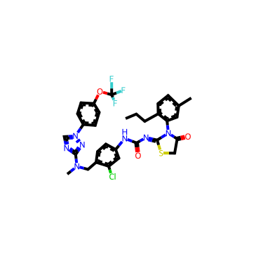 CCCc1ccc(C)cc1N1C(=O)CSC1=NC(=O)Nc1ccc(CN(C)c2ncn(-c3ccc(OC(F)(F)F)cc3)n2)c(Cl)c1